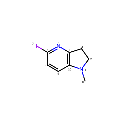 CN1CCc2nc(I)ccc21